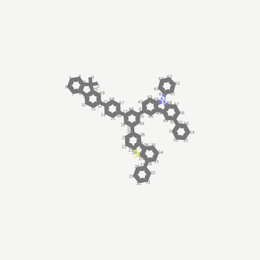 CC1(C)c2ccccc2-c2ccc(-c3ccc(-c4cc(-c5ccc6sc7c(-c8ccccc8)cccc7c6c5)cc(-c5ccc6c(c5)c5cc(-c7ccccc7)ccc5n6-c5ccccc5)c4)cc3)cc21